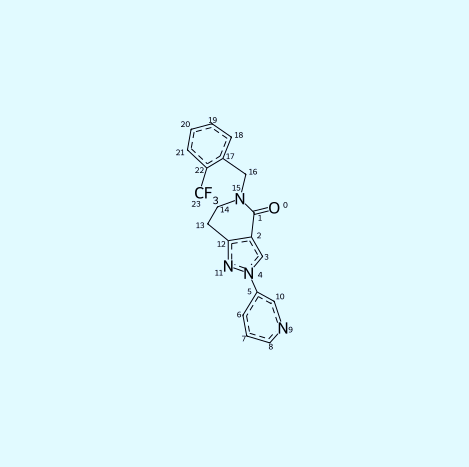 O=C1c2cn(-c3cccnc3)nc2CCN1Cc1ccccc1C(F)(F)F